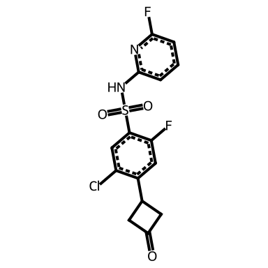 O=C1CC(c2cc(F)c(S(=O)(=O)Nc3cccc(F)n3)cc2Cl)C1